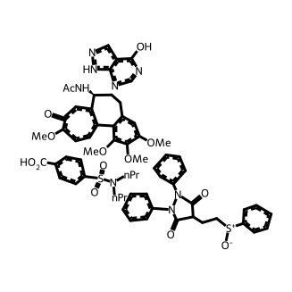 CCCN(CCC)S(=O)(=O)c1ccc(C(=O)O)cc1.COc1cc2c(c(OC)c1OC)-c1ccc(OC)c(=O)cc1[C@@H](NC(C)=O)CC2.O=C1C(CC[S+]([O-])c2ccccc2)C(=O)N(c2ccccc2)N1c1ccccc1.Oc1ncnc2[nH]ncc12